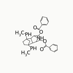 CPC12CCC(PC)(C1)C1C3NC(C(OC(=O)c4ccccc4)C3OC(=O)c3ccccc3)C12